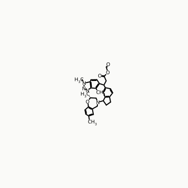 Cc1ccc2c(c1)CN(C1CCc3ccc(C(CC(=O)OC=O)c4ccc5c(nnn5C)c4C)cc31)C[C@@H](C)O2